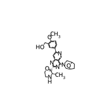 COc1ccc(-c2cc3nc([C@H]4OCCNC4C)nc(N4CC5CCC(C4)O5)c3cn2)cc1CO